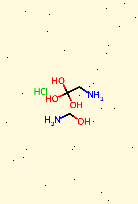 Cl.NCC(O)(O)O.NCO